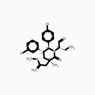 C=C(C[C@@]1(C)C[C@H](c2cccc(Cl)c2)[C@@H](c2ccc(Cl)cc2)N([C@H](C=O)CC)C1=O)OC